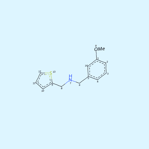 COc1cccc(CNCc2cccs2)c1